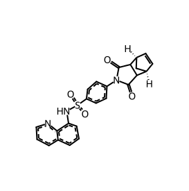 O=C1C2C(C(=O)N1c1ccc(S(=O)(=O)Nc3cccc4cccnc34)cc1)[C@H]1C=C[C@@H]2C1